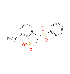 CCOC(=O)c1cccc2c1S(=O)(=O)CC2S(=O)(=O)c1ccccc1